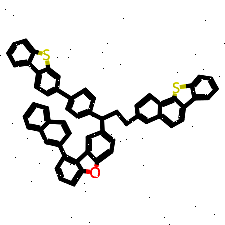 c1ccc2cc(-c3cccc4oc5ccc(C(CCc6ccc7c(ccc8c9ccccc9sc78)c6)c6ccc(-c7ccc8c(c7)sc7ccccc78)cc6)cc5c34)ccc2c1